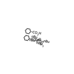 CCC[CH2][SnH2][O][Sn]([CH2]CCC)([CH2]CCC)[CH2]CCC.O=C(O)c1ccccc1.O=C(O)c1ccccc1